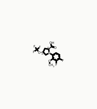 COc1c(N2C[C@H](OC(F)(F)F)C[C@H]2C(=O)O)ccc(F)c1F